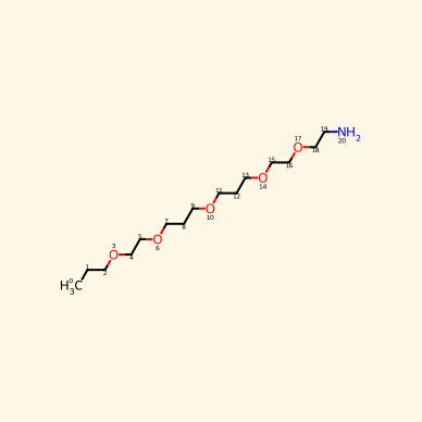 CCCOCCOCCCOCCCOCCOCCN